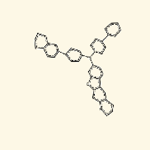 c1ccc(-c2ccc(N(c3ccc(-c4ccc5ccccc5c4)cc3)c3ccc4c(c3)oc3cc5ncccc5cc34)cc2)cc1